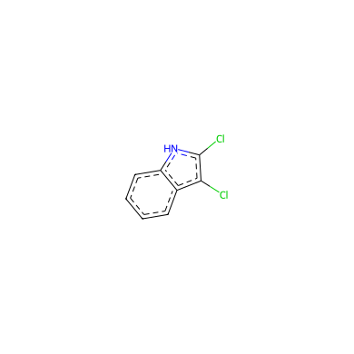 Clc1[nH]c2ccccc2c1Cl